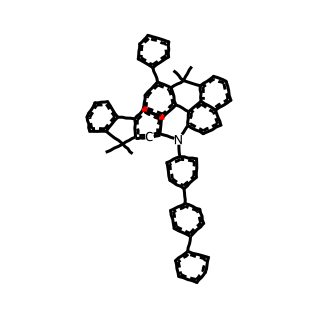 CC1(C)c2ccccc2-c2ccc(N(c3ccc(-c4ccc(-c5ccccc5)cc4)cc3)c3ccc4cccc5c4c3-c3cccc(-c4ccccc4)c3C5(C)C)cc21